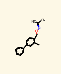 Cc1cc(-c2ccccc2)ccc1CON=C(C#N)C#N